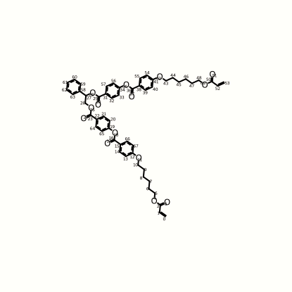 C=CC(=O)OCCCCCCOc1ccc(C(=O)Oc2ccc(C(=O)OCC(OC(=O)c3ccc(OC(=O)c4ccc(OCCCCCCOC(=O)C=C)cc4)cc3)c3ccccc3)cc2)cc1